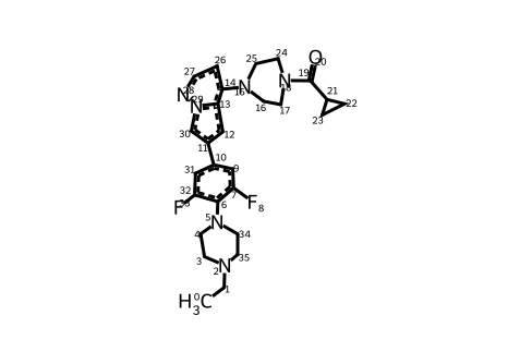 CCN1CCN(c2c(F)cc(-c3cc4c(N5CCN(C(=O)C6CC6)CC5)ccnn4c3)cc2F)CC1